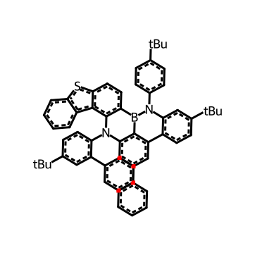 CC(C)(C)c1ccc(N2B3c4ccc5sc6ccccc6c5c4N(c4ccc(C(C)(C)C)cc4-c4ccccc4)c4cc(-c5ccccc5)cc(c43)-c3ccc(C(C)(C)C)cc32)cc1